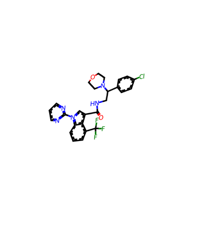 O=C(NCC(c1ccc(Cl)cc1)N1CCOCC1)c1cn(-c2ncccn2)c2cccc(C(F)(F)F)c12